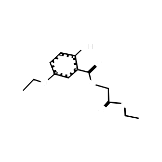 CCOC(=O)COC(=O)c1cc(OCC)ccc1O